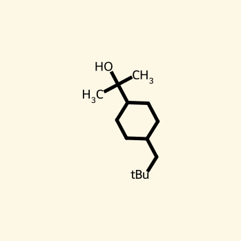 CC(C)(C)CC1CCC(C(C)(C)O)CC1